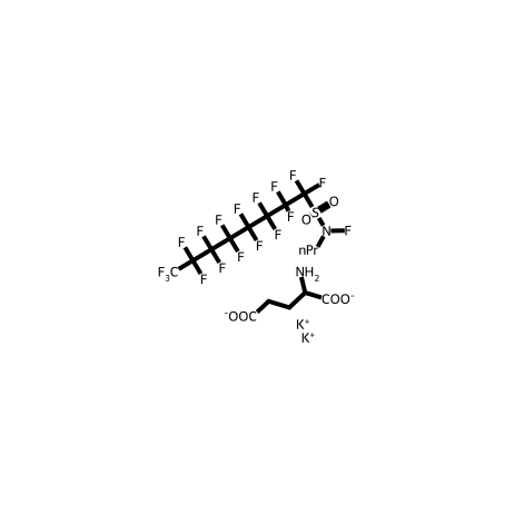 CCCN(F)S(=O)(=O)C(F)(F)C(F)(F)C(F)(F)C(F)(F)C(F)(F)C(F)(F)C(F)(F)C(F)(F)F.NC(CCC(=O)[O-])C(=O)[O-].[K+].[K+]